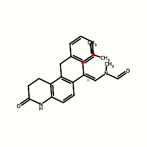 CC(C)=C/C(=C\N(C)C=O)c1ccc2c(c1Cc1ccccc1)CCC(=O)N2